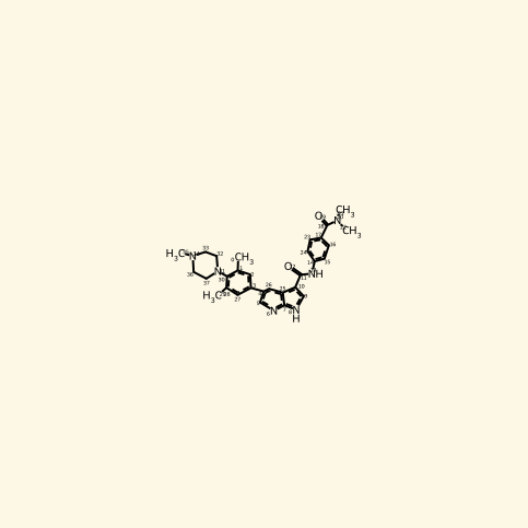 Cc1cc(-c2cnc3[nH]cc(C(=O)Nc4ccc(C(=O)N(C)C)cc4)c3c2)cc(C)c1N1CCN(C)CC1